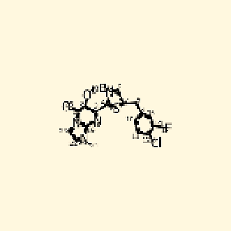 CCCCOc1c(-c2ncc(Cc3ccc(Cl)c(F)c3)s2)nc2n(C)ccn2c1=O